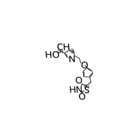 C[C@H](O)c1ccc(CCOc2ccc(C[C@H]3SC(=O)NC3=O)cc2)nc1